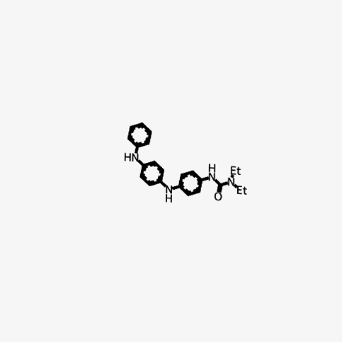 CCN(CC)C(=O)Nc1ccc(Nc2ccc(Nc3ccccc3)cc2)cc1